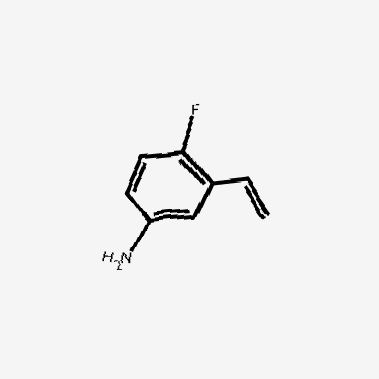 C=Cc1cc(N)ccc1F